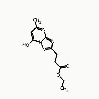 CCOC(=O)CCc1nc2nc(C)cc(O)n2n1